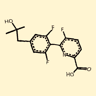 CC(C)(O)Cc1cc(F)c(-c2nc(C(=O)O)ccc2F)c(F)c1